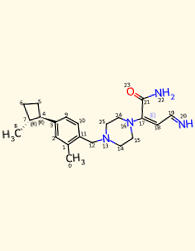 Cc1cc([C@@H]2CC[C@H]2C)ccc1CN1CCN(/C(=C/C=N)C(N)=O)CC1